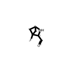 O=CC1NC2CC1(F)C2